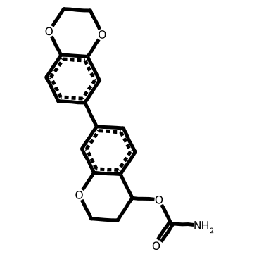 NC(=O)OC1CCOc2cc(-c3ccc4c(c3)OCCO4)ccc21